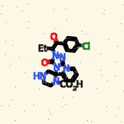 CCC(C(=O)c1ccc(Cl)cc1)n1ncn(C2(c3ccccn3)CNCCN2C(=O)O)c1=O